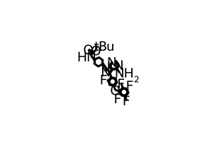 CC(C)(C)OC(=O)NC1CCC(n2nc(-c3ccc(Oc4c(F)c(F)cc(F)c4F)cc3F)c3c(N)ncnc32)CC1